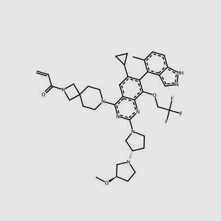 C=CC(=O)N1CC2(CCN(c3nc(N4CC[C@H](N5CC[C@@H](OC)C5)C4)nc4c(OCC(F)(F)F)c(-c5c(C)ccc6[nH]ncc56)c(C5CC5)cc34)CC2)C1